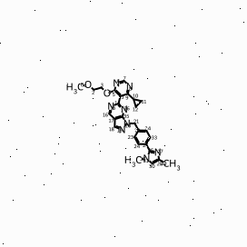 COCCOc1ncnc(C2CC2)c1-c1ncc2cnn(Cc3ccc(-c4nc(C)cn4C)cc3)c2n1